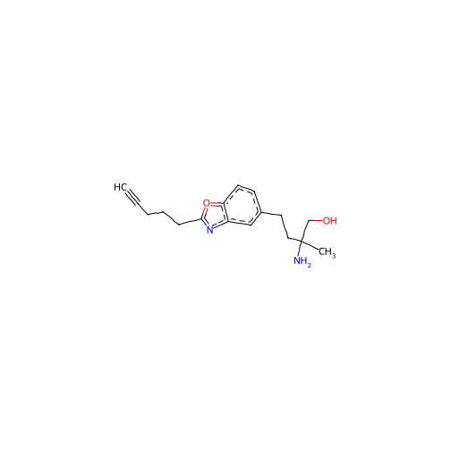 C#CCCCc1nc2cc(CCC(C)(N)CO)ccc2o1